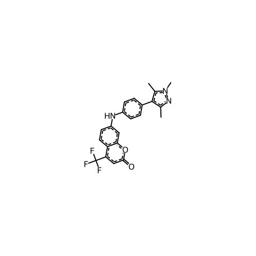 Cc1nn(C)c(C)c1-c1ccc(Nc2ccc3c(C(F)(F)F)cc(=O)oc3c2)cc1